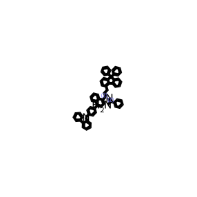 N/C(=N\C(=C/Cc1cccc2c1-c1ccccc1C2(c1ccccc1)c1ccccc1)c1ccc(-c2ccc(-n3c4ccccc4c4ccccc43)cc2)c2ccccc12)c1ccccc1